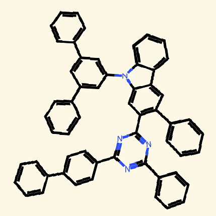 c1ccc(-c2ccc(-c3nc(-c4ccccc4)nc(-c4cc5c(cc4-c4ccccc4)c4ccccc4n5-c4cc(-c5ccccc5)cc(-c5ccccc5)c4)n3)cc2)cc1